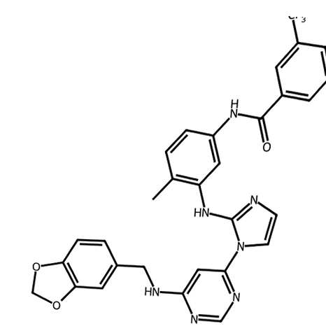 Cc1ccc(NC(=O)c2cccc(C(F)(F)F)c2)cc1Nc1nccn1-c1cc(NCc2ccc3c(c2)OCO3)ncn1